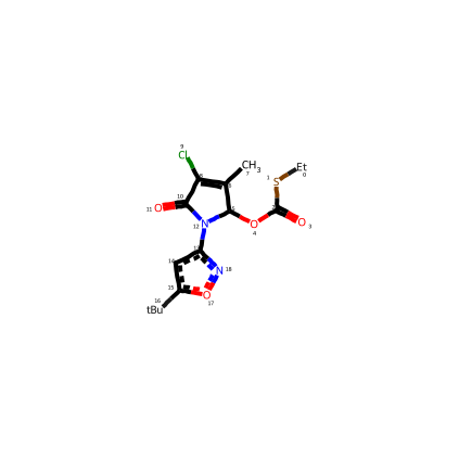 CCSC(=O)OC1C(C)=C(Cl)C(=O)N1c1cc(C(C)(C)C)on1